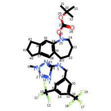 Cn1nnc(N(Cc2cc(C(F)(F)F)cc(C(F)(F)F)c2)[C@H]2CCCN(OC(=O)OC(C)(C)C)c3cc4c(cc32)CCC4)n1